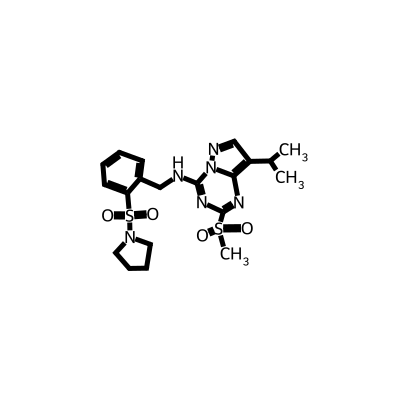 CC(C)c1cnn2c(NCc3ccccc3S(=O)(=O)N3CCCC3)nc(S(C)(=O)=O)nc12